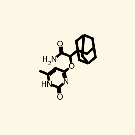 Cc1cc(OC(C(N)=O)C23CC4CC(CC(C4)C2)C3)nc(=O)[nH]1